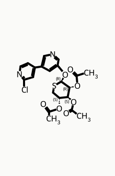 CC(=O)O[C@@H]1[C@@H](OC(C)=O)[C@H](OC(C)=O)CS[C@H]1Oc1cncc(-c2ccnc(Cl)c2)c1